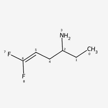 CCC(N)CC=C(F)F